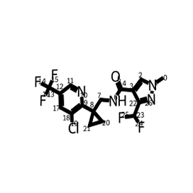 Cn1cc(C(=O)NCC2(c3ncc(C(F)(F)F)cc3Cl)CC2)c(C(F)F)n1